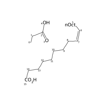 CCC(=O)O.CCCCCCCC/C=C\CCCCCCCC(=O)O